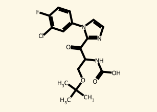 CC(C)(C)OCC(NC(=O)O)C(=O)c1nccn1-c1ccc(F)c(Cl)c1